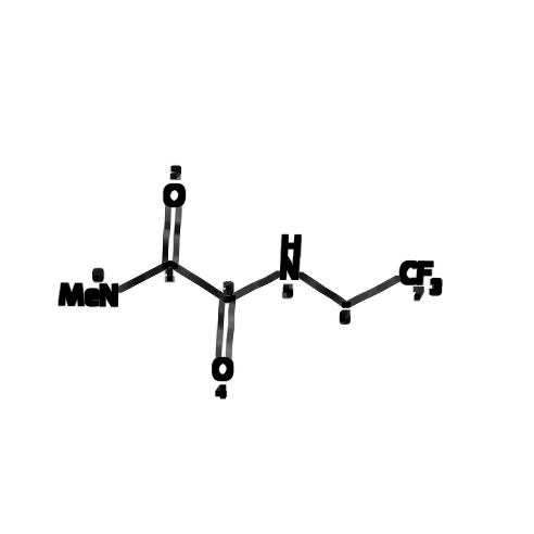 CNC(=O)C(=O)NCC(F)(F)F